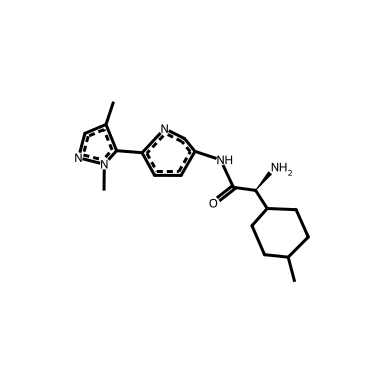 Cc1cnn(C)c1-c1ccc(NC(=O)[C@@H](N)C2CCC(C)CC2)cn1